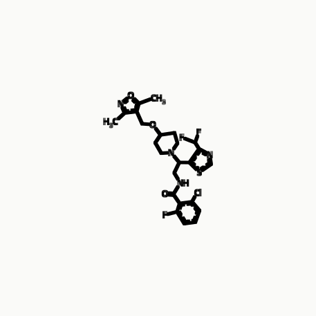 Cc1noc(C)c1COC1CCN(C(CNC(=O)c2c(F)cccc2Cl)c2scnc2C(F)F)CC1